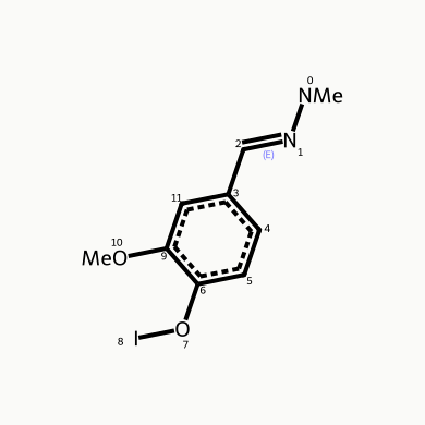 CN/N=C/c1ccc(OI)c(OC)c1